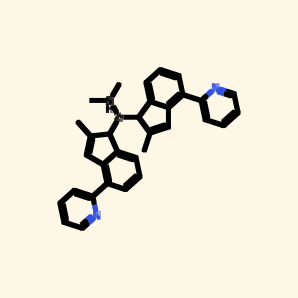 CC1=Cc2c(-c3ccccn3)cccc2[CH]1[Zr]([CH]1C(C)=Cc2c(-c3ccccn3)cccc21)[SiH](C)C